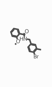 COc1ccccc1C(=O)NCc1ccc(Br)c(C)c1